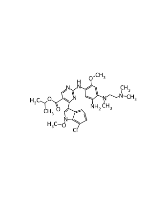 COc1cc(N(C)CCN(C)C)c(N)cc1Nc1ncc(C(=O)OC(C)C)c(-c2cn(OC)c3c(Cl)cccc23)n1